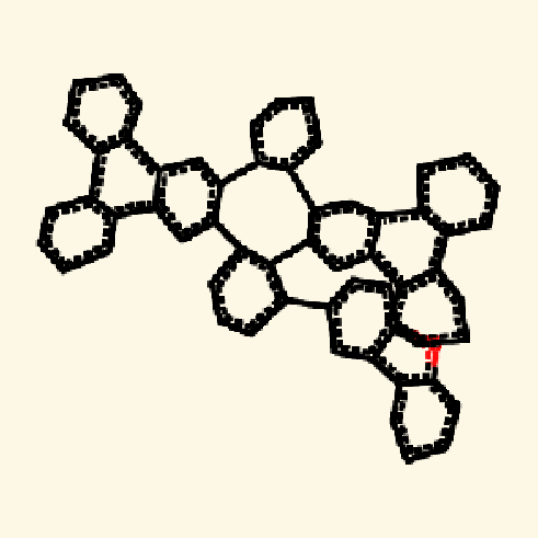 c1ccc2c(c1)-c1cc3c4ccccc4c4ccccc4c3cc1-c1cccc(-c3ccc4oc5ccccc5c4c3)c1-c1cc3c4ccccc4c4ccccc4c3cc1-2